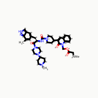 CNCC(=O)OCn1c(=O)c(C2CCN(C(=O)N[C@H](Cc3cc(C)c4n[nH]cc4c3)C(=O)N3CCN(C4CCN(C)CC4)CC3)CC2)cc2ccccc21